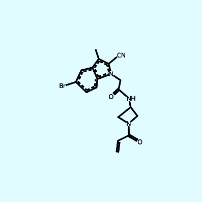 C=CC(=O)N1CC(NC(=O)Cn2c(C#N)c(C)c3cc(Br)ccc32)C1